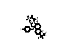 CC(C(=O)N1CC[C@@]2(Cc3ccc(F)cc3)c3ccc(C(C)(F)C(F)(F)F)cc3CC[C@@H]12)S(C)(=O)=O